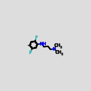 CN(C)CCCNc1cc(F)[c]cc1F